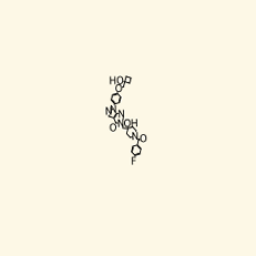 O=C(c1ccc(F)cc1)N1CCC(O)(Cn2cnc3c(cnn3-c3ccc(OCC4(O)CCC4)cc3)c2=O)CC1